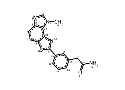 Cn1cnc2cnc3sc(-c4cccc(CC(N)=O)c4)nc3c21